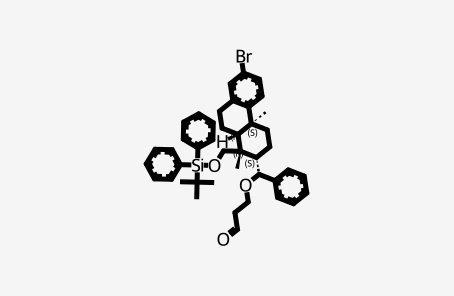 CC(C)(C)[Si](OC[C@@]1(C)[C@@H](C(OCCC=O)c2ccccc2)CC[C@]2(C)c3ccc(Br)cc3CC[C@@H]12)(c1ccccc1)c1ccccc1